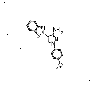 COc1ccc(N2CC(c3nc4ccccc4s3)C(N)=N2)cc1